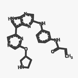 C=CC(=O)Nc1cccc(Nc2cnc3[nH]cc(-c4cncc(OC5CCNC5)n4)c3n2)c1